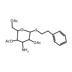 CC(=O)OCC1OC(SCCc2ccccc2)C(OC(C)=O)C(N)C1OC(C)=O